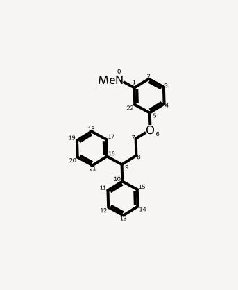 CNc1cccc(OCCC(c2ccccc2)c2ccccc2)c1